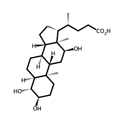 C[C@H](CCC(=O)O)[C@H]1CC[C@H]2[C@@H]3CC[C@@H]4[C@@H](O)[C@H](O)CC[C@]4(C)[C@H]3C[C@H](O)[C@]12C